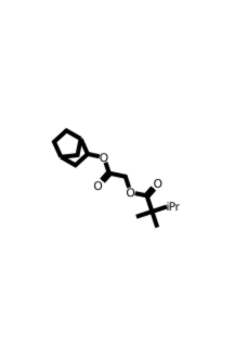 CC(C)C(C)(C)C(=O)OCC(=O)OC1CC2CCC1C2